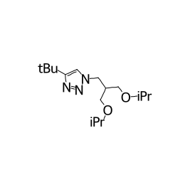 CC(C)OCC(COC(C)C)Cn1cc(C(C)(C)C)nn1